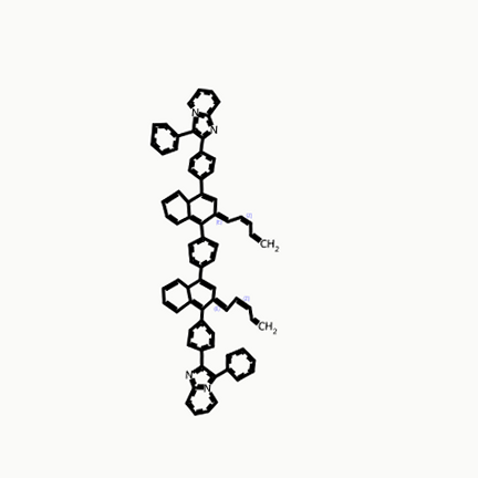 C=C/C=C\C=C1/C=C(c2ccc(-c3nc4ccccn4c3-c3ccccc3)cc2)C2C=CC=CC2=C1c1ccc(C2=C/C(=C\C=C/C=C)C(c3ccc(-c4nc5ccccn5c4-c4ccccc4)cc3)=C3C=CC=CC23)cc1